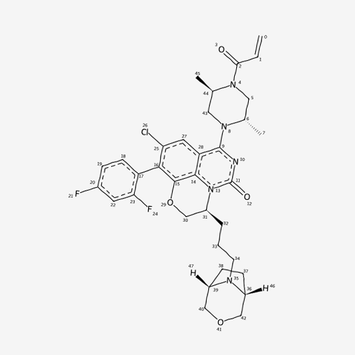 C=CC(=O)N1C[C@H](C)N(c2nc(=O)n3c4c(c(-c5ccc(F)cc5F)c(Cl)cc24)OC[C@@H]3CCCN2[C@@H]3CC[C@H]2COC3)C[C@H]1C